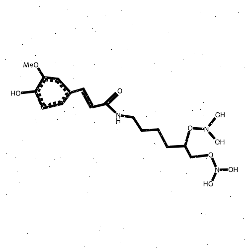 COc1cc(/C=C/C(=O)NCCCCC(CON(O)O)ON(O)O)ccc1O